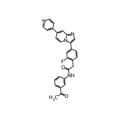 CC(=O)c1cccc(NC(=O)Cc2ccc(-c3cnc4cc(-c5ccncc5)ccn34)cc2F)c1